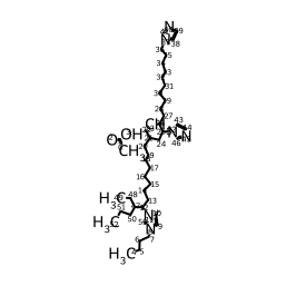 CC(=O)O.CCCCn1cc[n+](C(CCCCCCCCC(CC)CC(CCCCCCCCCCCn2ccnc2)n2ccnc2)C(CC)CCC)c1